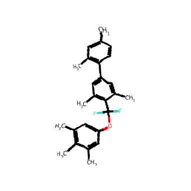 Cc1ccc(-c2cc(C)c(C(F)(F)Oc3cc(C)c(C)c(C)c3)c(C)c2)c(C)c1